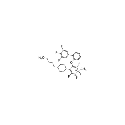 CCCCCC1CCC(C2=C(F)[C@H](F)[C@](C)(F)C(F)=C2Oc2ccccc2-c2cc(F)c(F)c(F)c2)CC1